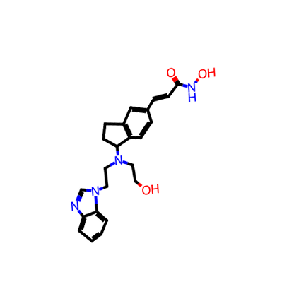 O=C(/C=C/c1ccc2c(c1)CCC2N(CCO)CCn1cnc2ccccc21)NO